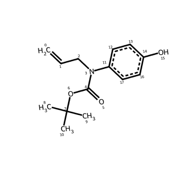 C=CCN(C(=O)OC(C)(C)C)c1ccc(O)cc1